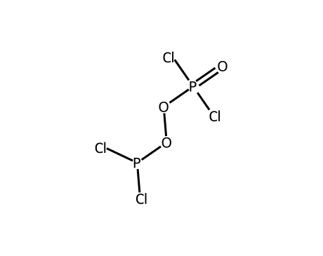 O=P(Cl)(Cl)OOP(Cl)Cl